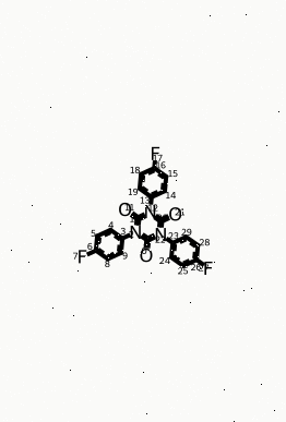 O=c1n(-c2ccc(F)cc2)c(=O)n(-c2ccc(F)cc2)c(=O)n1-c1ccc(F)cc1